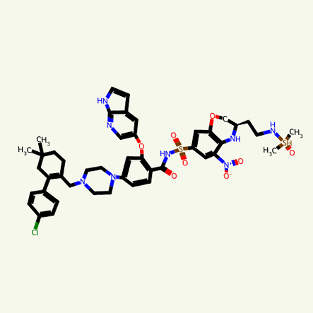 CC1(C)CCC(CN2CCN(c3ccc(C(=O)NS(=O)(=O)c4cc5c(c([N+](=O)[O-])c4)N[C@H](CCN[SH](C)(C)=O)CO5)c(Oc4cnc5[nH]ccc5c4)c3)CC2)=C(c2ccc(Cl)cc2)C1